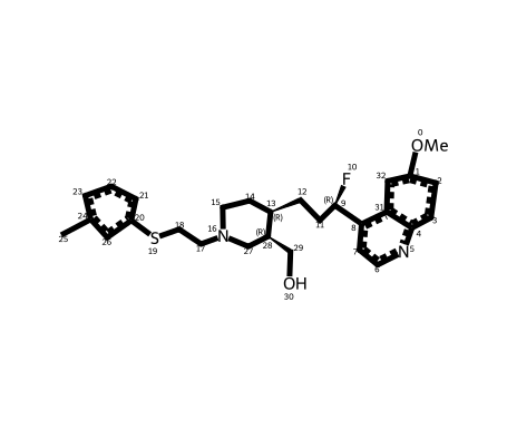 COc1ccc2nccc([C@H](F)CC[C@@H]3CCN(CCSc4cccc(C)c4)C[C@@H]3CO)c2c1